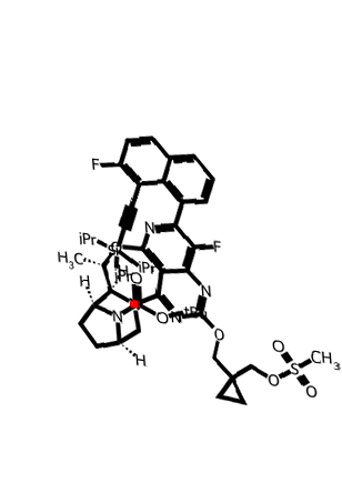 CC(C)[Si](C#Cc1c(F)ccc2cccc(-c3nc4c5c(nc(OCC6(COS(C)(=O)=O)CC6)nc5c3F)N3C[C@H]5CC[C@@H]([C@H]3[C@H](C)O4)N5C(=O)OC(C)(C)C)c12)(C(C)C)C(C)C